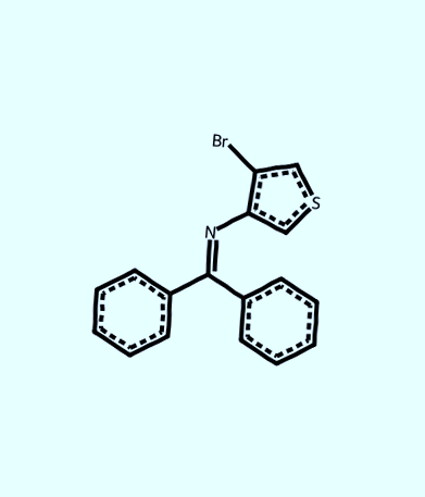 Brc1cscc1N=C(c1ccccc1)c1ccccc1